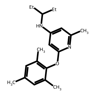 CCC(CC)Nc1cc(C)nc(Oc2c(C)cc(C)cc2C)c1